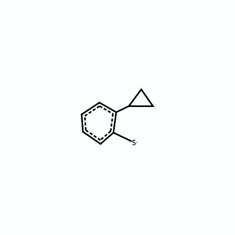 [S]c1ccccc1C1CC1